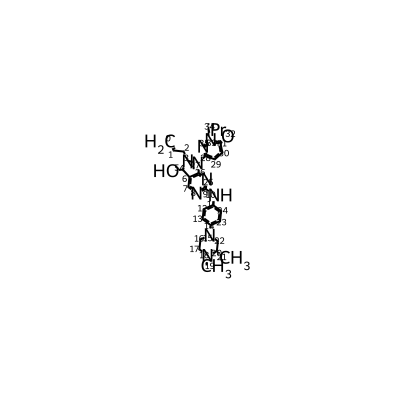 C=CCN1C(O)c2cnc(Nc3ccc(N4CCN(C)[C@H](C)C4)cc3)nc2N1c1ccc(=O)n(C(C)C)n1